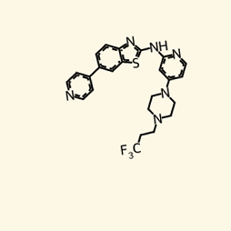 FC(F)(F)CCN1CCN(c2ccnc(Nc3nc4ccc(-c5ccncc5)cc4s3)c2)CC1